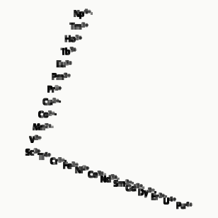 [Ce+3].[Co+2].[Cr+3].[Cu+2].[Dy+3].[Er+3].[Eu+3].[Fe+2].[Gd+3].[Ho+3].[Mn+2].[Nd+3].[Ni+2].[Np+4].[Pm+3].[Pr+3].[Pu+4].[Sc+3].[Sm+3].[Tb+3].[Ti+4].[Tm+3].[U+4].[V+3]